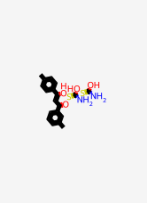 Cc1ccc(C(O)=CC(=O)c2cccc(C)c2)cc1.NC(O)=S.NC(O)=S